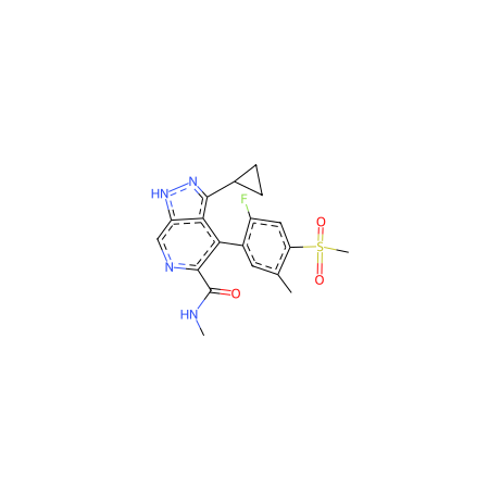 CNC(=O)c1ncc2[nH]nc(C3CC3)c2c1-c1cc(C)c(S(C)(=O)=O)cc1F